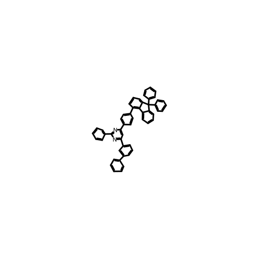 c1ccc(-c2cccc(-c3cc(-c4ccc(-c5cccc6c5-c5ccccc5C6(c5ccccc5)c5ccccc5)cc4)nc(-c4ccccc4)n3)c2)cc1